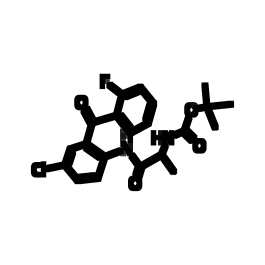 CC(NC(=O)OC(C)(C)C)C(=O)Nc1ccc(Cl)cc1C(=O)c1ccccc1F